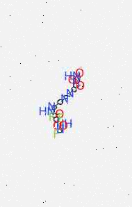 O=C1CCC(N2Cc3cc(N4CC5(CN(c6ccc(-c7cnc8[nH]cc(C(=O)c9c(F)ccc(NS(=O)(=O)N%10CC[C@@H](F)C%10)c9F)c8c7)cc6)C5)C4)ccc3C2=O)C(=O)N1